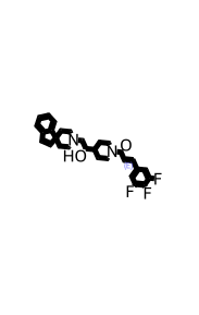 O=C(/C=C/c1cc(F)c(F)c(F)c1)N1CCC(C(O)CN2CCC3(C=Cc4ccccc43)CC2)CC1